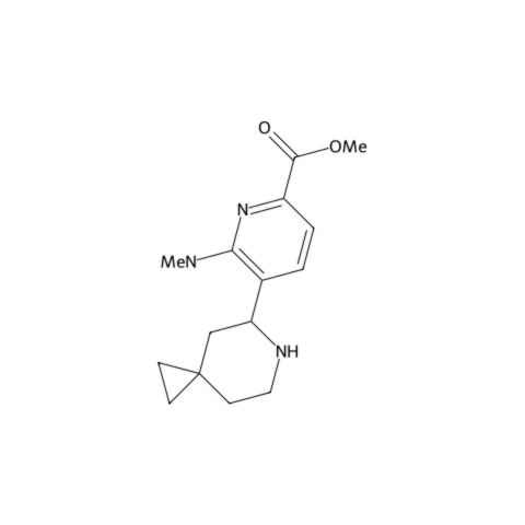 CNc1nc(C(=O)OC)ccc1C1CC2(CCN1)CC2